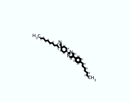 CCCCCCCCCC[C@]1(C#N)CC[C@H](c2ncc(-c3ccc(CCCCCCC)cc3)cn2)CC1